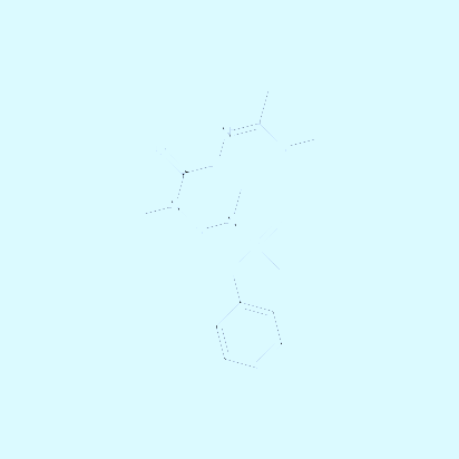 CSC(C)=NOC(=O)N(C)SN(C)P(C)(=S)Oc1ccccc1